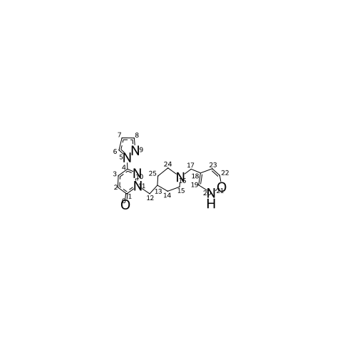 O=c1ccc(-n2cccn2)nn1CC1CCN(CC2=CNOC=C2)CC1